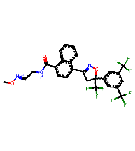 CO/N=C/CNC(=O)c1ccc(C2=NOC(c3cc(C(F)(F)F)cc(C(F)(F)F)c3)(C(F)(F)F)C2)c2ccccc12